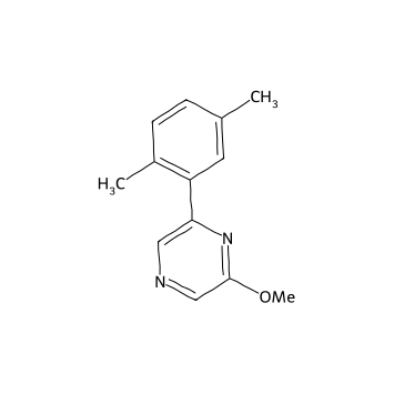 COc1cncc(-c2cc(C)ccc2C)n1